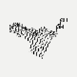 CCCCCCCCCCCC[S-].CCCCCCCCCCCC[S-].CCCCCCCCCCCC[S-].CCCCCCCCCCCC[S-].CCCCCCCCCCCC[S-].CCCCCCCCCCCC[S-].CCC[CH2][Sn+3].CCC[CH2][Sn+3].CCC[CH2][Sn+3].CCC[CH2][Sn+3].OCC[S-].OCC[S-].OCC[S-].OCC[S-].OCC[S-].OCC[S-].[S-2]